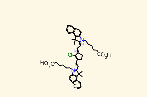 CC1(C)C(/C=C/C2=C(Cl)C(=C/C=C3/N(CCCCCC(=O)O)c4ccc5ccccc5c4C3(C)C)/CC2)=[N+](CCCCCC(=O)O)c2ccc3ccccc3c21